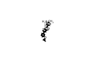 CC1=NC=C(C(=O)Nc2ncc(-c3cccc(OC4CC4)c3)cc2F)CN1C